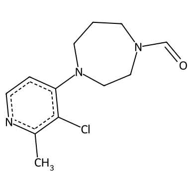 Cc1nccc(N2CCCN(C=O)CC2)c1Cl